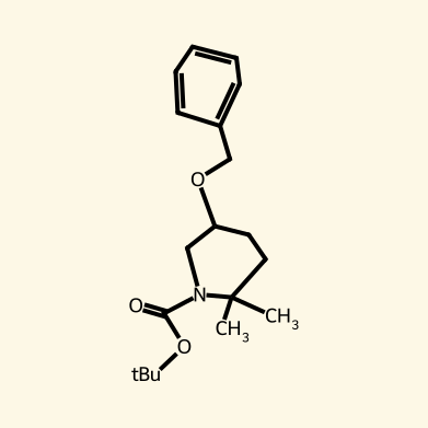 CC(C)(C)OC(=O)N1CC(OCc2ccccc2)CCC1(C)C